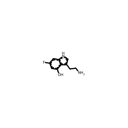 NCCc1c[nH]c2cc(F)cc(O)c12